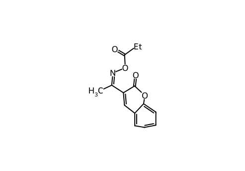 CCC(=O)O/N=C(/C)c1cc2ccccc2oc1=O